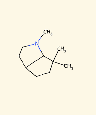 CN1CCC2CCC(C)(C)C21